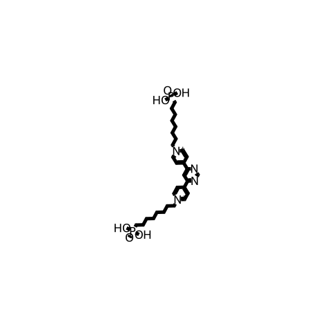 O=P(O)(O)CCCCCCCC[n+]1ccc(-c2cc(-c3cc[n+](CCCCCCCCP(=O)(O)O)cc3)ncn2)cc1